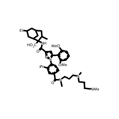 CCC1CC2CC(C)C(NC(=O)c3cc(-c4c(OC)cccc4OC)n(-c4ccc(C(=O)N(C)CCCN(C)CCCNC)cc4C(C)C)n3)(C(=O)O)C(C1)C2